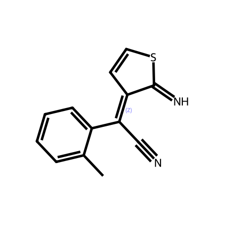 Cc1ccccc1/C(C#N)=C1\C=CSC1=N